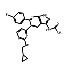 CC(=O)Nc1n[nH]c2nc(-c3ccc(F)cc3)c(-c3ccnc(NCC4CC4)n3)cc12